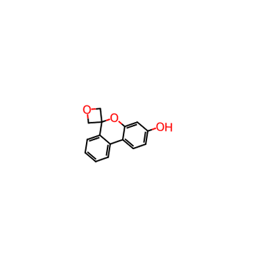 Oc1ccc2c(c1)OC1(COC1)c1ccccc1-2